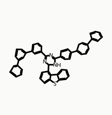 C1=CC(c2ccccc2)=CCC(c2ccc(C3=NC(c4cccc(-c5cccc(-c6ccccc6)c5)c4)=NC(c4cccc5sc6ccccc6c45)N3)cc2)=C1